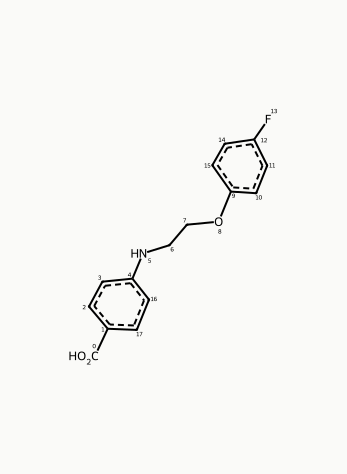 O=C(O)c1ccc(NCCOc2ccc(F)cc2)cc1